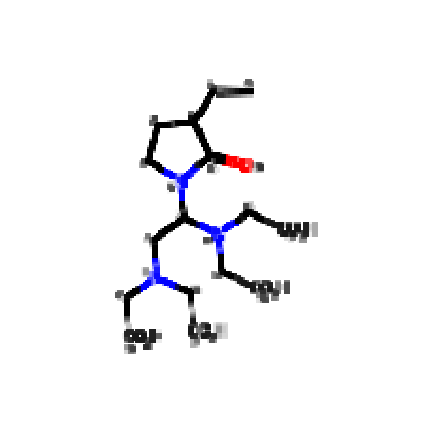 C=CC1CCN(C(CN(CC(=O)O)CC(=O)O)N(CC(=O)O)CC(=O)O)C1=O